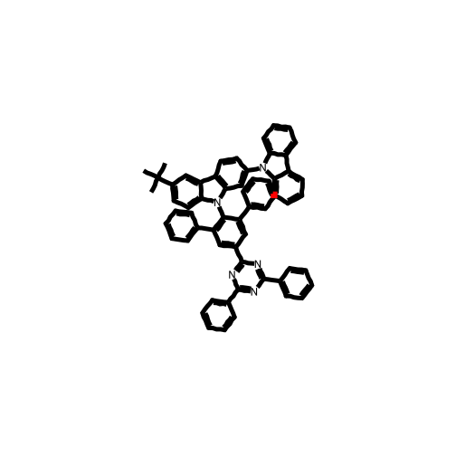 CC(C)(C)c1ccc2c(c1)c1ccc(-n3c4ccccc4c4ccccc43)cc1n2-c1c(-c2ccccc2)cc(-c2nc(-c3ccccc3)nc(-c3ccccc3)n2)cc1-c1ccccc1